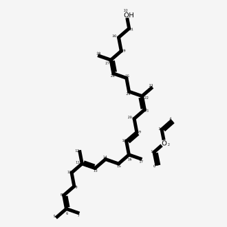 C=COC=C.CC(C)=CCCC(C)=CCCC(C)C=CCC=C(C)CCC=C(C)CCCO